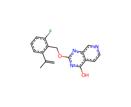 C=C(C)c1cccc(F)c1COc1nc(O)c2ccncc2n1